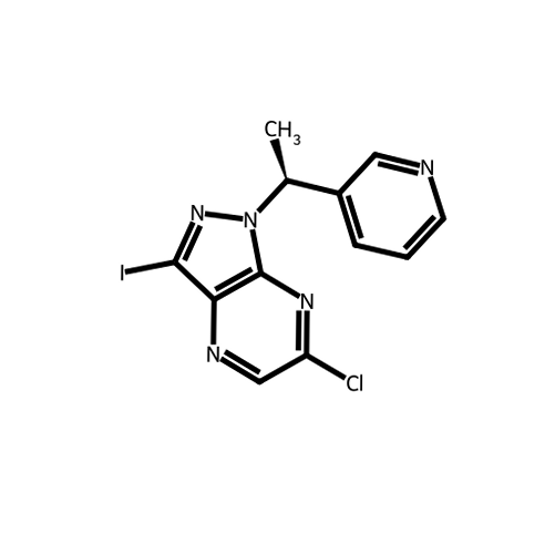 C[C@@H](c1cccnc1)n1nc(I)c2ncc(Cl)nc21